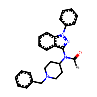 CCC(=O)N(c1nn(-c2ccccc2)c2ccccc12)C1CCN(Cc2ccccc2)CC1